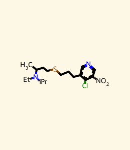 CCN(C(C)C)C(C)CCSCCCc1cncc([N+](=O)[O-])c1Cl